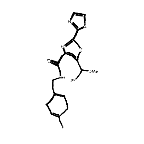 COC(c1sc(-c2nccs2)nc1C(=O)NCC1CC=C(F)CC1)C(C)C